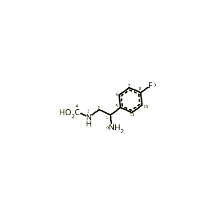 NC(CNC(=O)O)c1ccc(F)cc1